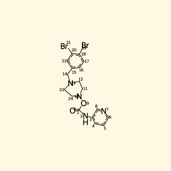 O=C(Nc1cccnc1)ON1CCN(Cc2ccc(Br)c(Br)c2)CC1